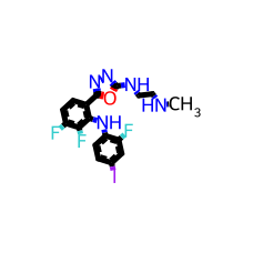 CNCCNc1nnc(-c2ccc(F)c(F)c2Nc2ccc(I)cc2F)o1